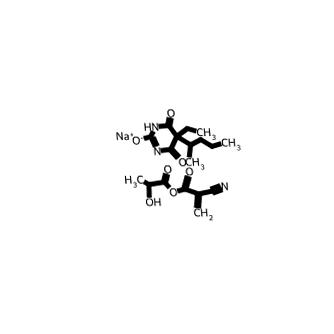 C=C(C#N)C(=O)OC(=O)C(C)O.CCCC(C)C1(CC)C(=O)N=C([O-])NC1=O.[Na+]